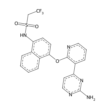 Nc1nccc(-c2cccnc2Oc2ccc(NS(=O)(=O)CC(F)(F)F)c3ccccc23)n1